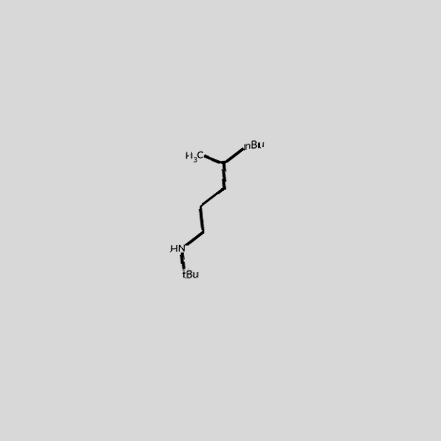 CCCCC(C)CCCNC(C)(C)C